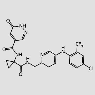 O=C(NC1(C(=O)NCC2CC=C(Nc3ccc(Cl)cc3C(F)(F)F)C=N2)CC1)c1cn[nH]c(=O)c1